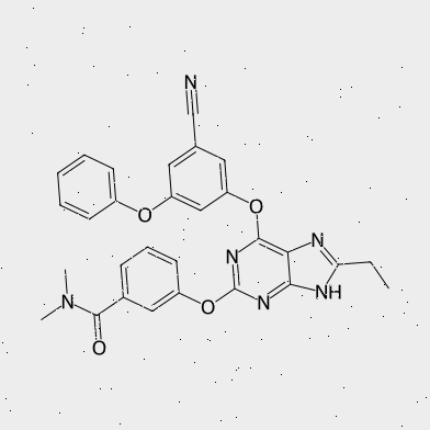 CCc1nc2c(Oc3cc(C#N)cc(Oc4ccccc4)c3)nc(Oc3cccc(C(=O)N(C)C)c3)nc2[nH]1